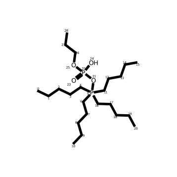 CCCCCP(CCCCC)(CCCCC)(CCCCC)OP(=O)(O)OCCC